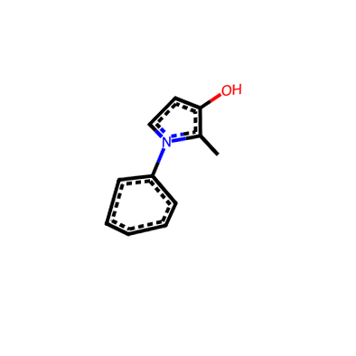 Cc1c(O)ccn1-c1ccccc1